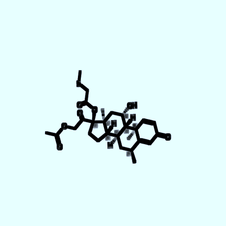 CSCC(=O)O[C@]1(C(=O)COC(C)=O)CC[C@H]2[C@@H]3C[C@H](C)C4=CC(=O)C=C[C@]4(C)[C@H]3[C@@H](O)C[C@@]21C